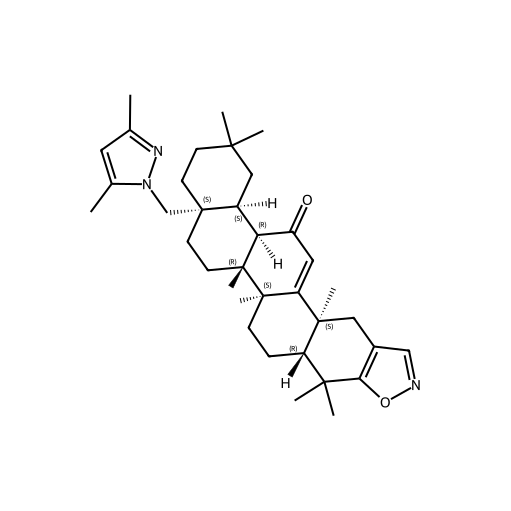 Cc1cc(C)n(C[C@]23CCC(C)(C)C[C@H]2[C@H]2C(=O)C=C4[C@@]5(C)Cc6cnoc6C(C)(C)[C@@H]5CC[C@@]4(C)[C@]2(C)CC3)n1